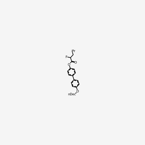 CCCCCCCCCCOc1ccc(-c2ccc(OC(=O)C(F)CC(C)C)cc2)cc1